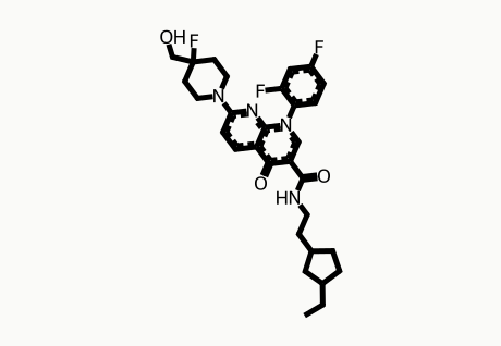 CCC1CCC(CCNC(=O)c2cn(-c3ccc(F)cc3F)c3nc(N4CCC(F)(CO)CC4)ccc3c2=O)C1